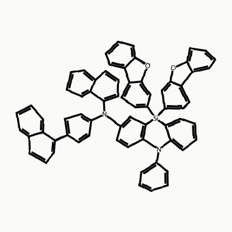 c1ccc(N2c3ccccc3[Si](c3ccc4c(c3)oc3ccccc34)(c3ccc4c(c3)oc3ccccc34)c3cc(N(c4ccc(-c5cccc6ccccc56)cc4)c4cccc5ccccc45)ccc32)cc1